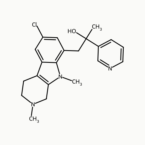 CN1CCc2c(n(C)c3c(CC(C)(O)c4cccnc4)cc(Cl)cc23)C1